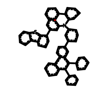 c1ccc(-c2ccccc2N(c2cccc(-c3ccc4c(c3)c(-c3ccccc3)c(-c3ccccc3)c3ccccc34)c2)c2cccc(-c3cccc4c3sc3ccccc34)c2)cc1